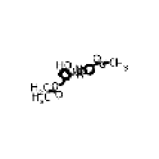 C=C(C)C(=O)OCc1ccc(O)c(-n2n3c4ccc(C(=O)OCC)cc4n23)c1